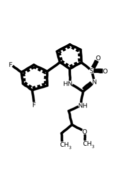 CCC(CNC1=NS(=O)(=O)c2cccc(-c3cc(F)cc(F)c3)c2N1)OC